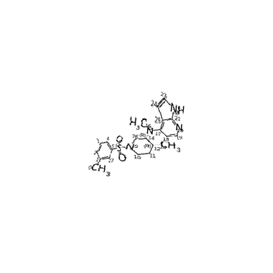 Cc1cccc(S(=O)(=O)N2CC[C@@H](C)[C@@H](N(C)c3ccnc4[nH]ccc34)C2)c1